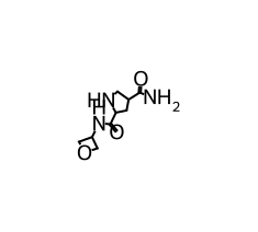 NC(=O)C1CNC(C(=O)NC2COC2)C1